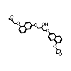 OC(COc1ccc2c(OCC3CO3)cccc2c1)COc1ccc2c(OC3COC3)cccc2c1